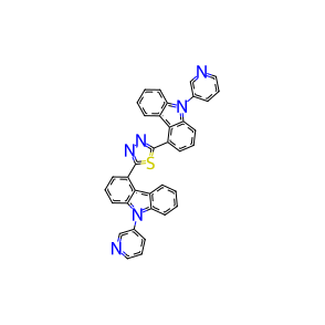 c1cncc(-n2c3ccccc3c3c(-c4nnc(-c5cccc6c5c5ccccc5n6-c5cccnc5)s4)cccc32)c1